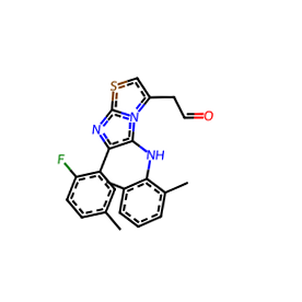 Cc1ccc(F)c(-c2nc3scc(CC=O)n3c2Nc2c(C)cccc2C)c1